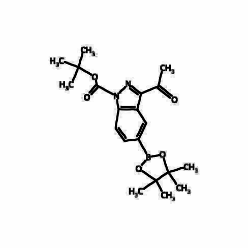 CC(=O)c1nn(C(=O)OC(C)(C)C)c2ccc(B3OC(C)(C)C(C)(C)O3)cc12